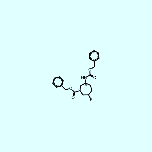 O=C(N[C@H]1CCC(F)CN(C(=O)OCc2ccccc2)C1)OCc1ccccc1